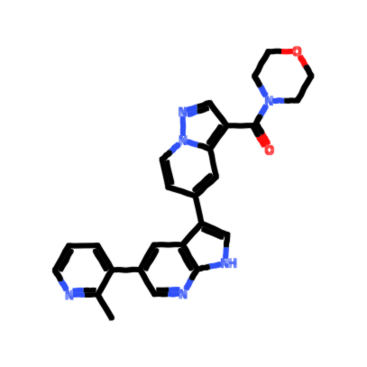 Cc1ncccc1-c1cnc2[nH]cc(-c3ccn4ncc(C(=O)N5CCOCC5)c4c3)c2c1